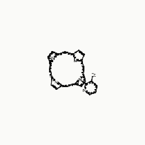 CCc1cccnc1-n1c2ccc1cc1nc(cc3ccc(cc4nc(c2)C=C4)[nH]3)C=C1